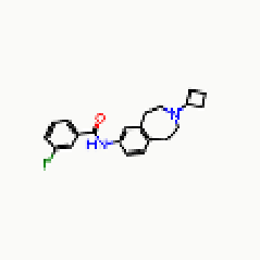 O=C(Nc1ccc2c(c1)CCN(C1CCC1)CC2)c1cccc(F)c1